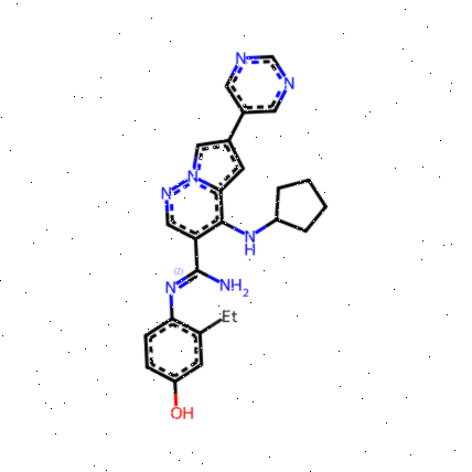 CCc1cc(O)ccc1/N=C(\N)c1cnn2cc(-c3cncnc3)cc2c1NC1CCCC1